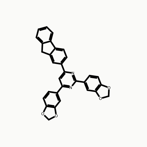 c1ccc2c(c1)Cc1cc(-c3cc(-c4ccc5c(c4)OCO5)nc(-c4ccc5c(c4)OCO5)n3)ccc1-2